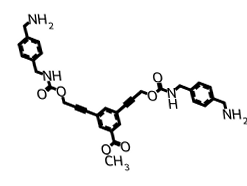 COC(=O)c1cc(C#CCOC(=O)NCc2ccc(CN)cc2)cc(C#CCOC(=O)NCc2ccc(CN)cc2)c1